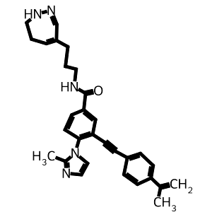 C=C(C)c1ccc(C#Cc2cc(C(=O)NCCCC3=CCCNN=C3)ccc2-n2ccnc2C)cc1